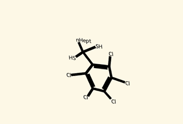 CCCCCCCC(S)(S)c1c(Cl)c(Cl)c(Cl)c(Cl)c1Cl